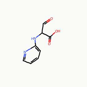 O=CC(Nc1ccccn1)C(=O)O